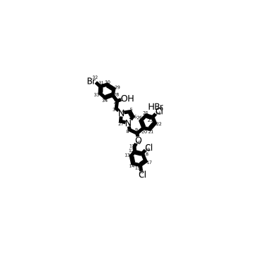 Br.OC(CN1C=CN(CC(OCc2ccc(Cl)cc2Cl)c2ccc(Cl)cc2)C1)c1ccc(Br)cc1